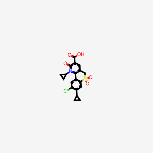 O=C(O)c1cc2c(n(C3CC3)c1=O)-c1cc(Cl)c(C3CC3)cc1S(=O)(=O)C2